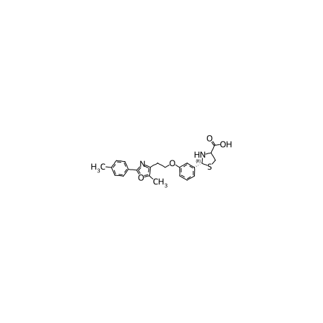 Cc1ccc(-c2nc(CCOc3cccc([C@@H]4NC(C(=O)O)CS4)c3)c(C)o2)cc1